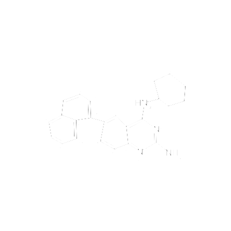 Nc1nc(NC2CCCCC2)c2cc(-c3cccc4ccccc34)ccc2n1